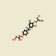 CC(=O)O[C@@H](CCl)COc1c(Cl)cc(C(C)(C)c2ccc(OC[C@H](O)CO)cc2)cc1Cl